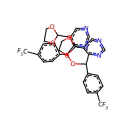 FC(F)(F)c1ccc(C(OC(c2ccc(C(F)(F)F)cc2)c2ncncc2C2OCCO2)c2ncncc2C2OCCO2)cc1